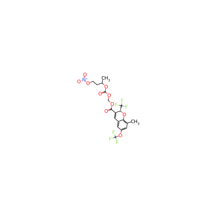 Cc1cc(OC(F)(F)F)cc2c1O[C@H](C(F)(F)F)C(C(=O)OCOC(=O)OC(C)CCO[N+](=O)[O-])=C2